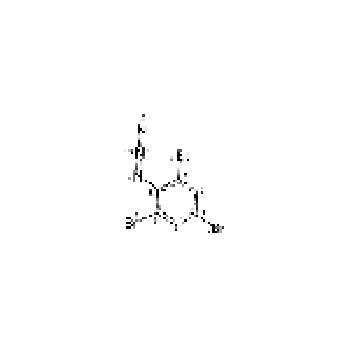 CCc1cc(Br)cc(Br)c1N=[N+]=[N-]